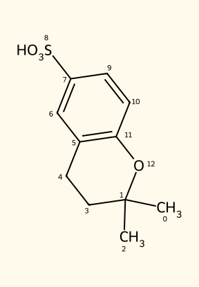 CC1(C)CCc2cc(S(=O)(=O)O)ccc2O1